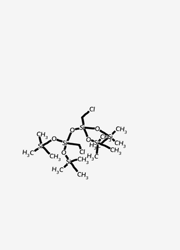 C[Si](C)(C)O[Si](CCl)(O[Si](C)(C)C)O[Si](CCl)(O[Si](C)(C)C)O[Si](C)(C)C